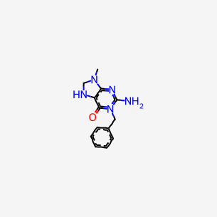 CN1CNc2c1nc(N)n(Cc1ccccc1)c2=O